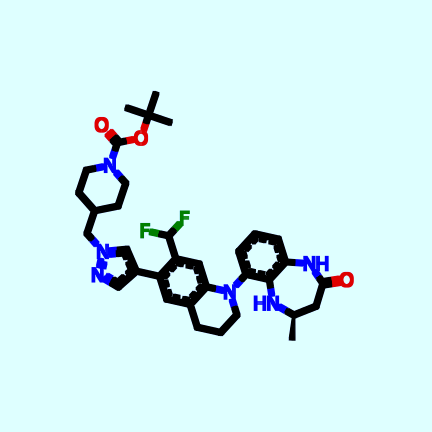 C[C@@H]1CC(=O)Nc2cccc(N3CCCc4cc(-c5cnn(CC6CCN(C(=O)OC(C)(C)C)CC6)c5)c(C(F)F)cc43)c2N1